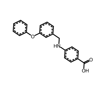 O=C(O)c1ccc(NCc2cccc(Oc3ccccc3)c2)cc1